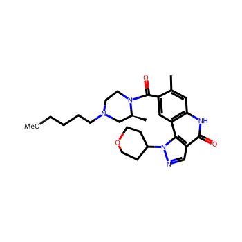 COCCCCN1CCN(C(=O)c2cc3c(cc2C)[nH]c(=O)c2cnn(C4CCOCC4)c23)[C@@H](C)C1